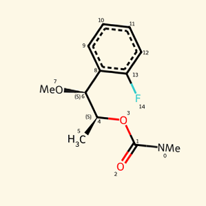 CNC(=O)O[C@@H](C)[C@@H](OC)c1ccccc1F